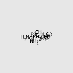 CC(CCC[C@@H](C)[C@H]1CC[C@H]2[C@@H]3CCC4CCCC[C@]4(C)[C@H]3CC[C@]12C)COC(F)(F)c1cc(N)cc(N)c1